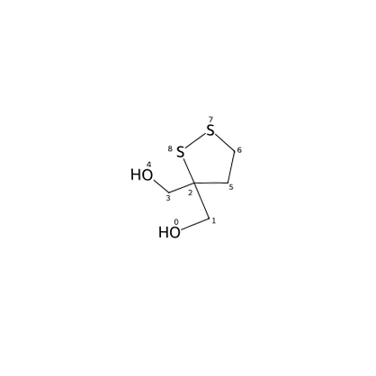 OCC1(CO)CCSS1